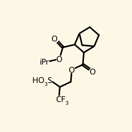 CC(C)OC(=O)C1C2CCC(C2)C1C(=O)OCC(C(F)(F)F)S(=O)(=O)O